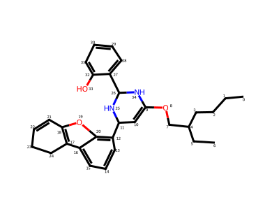 CCCCC(CC)COC1=CC(c2cccc3c4c(oc23)C=CCC4)NC(c2ccccc2O)N1